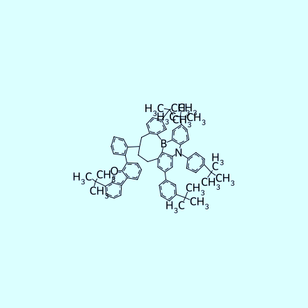 CC(C)(C)c1ccc(N2c3ccc(C(C)(C)C)cc3B3c4cc(C(C)(C)C)ccc4CC(c4ccccc4-c4cccc5c4oc4c(C(C)(C)C)cccc45)CCc4cc(-c5cccc(C(C)(C)C)c5)cc2c43)cc1